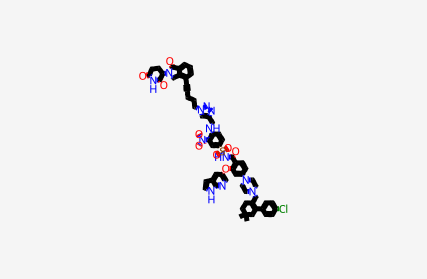 CC1(C)CCC(CN2CCN(c3ccc(C(=O)NS(=O)(=O)c4ccc(NCc5cn(CCCC#Cc6cccc7c6CN(C6CCC(=O)NC6=O)C7=O)nn5)c([N+](=O)[O-])c4)c(Oc4cnc5[nH]ccc5c4)c3)CC2)=C(c2ccc(Cl)cc2)C1